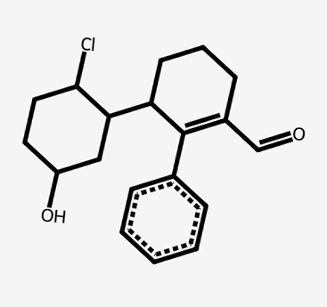 O=CC1=C(c2ccccc2)C(C2CC(O)CCC2Cl)CCC1